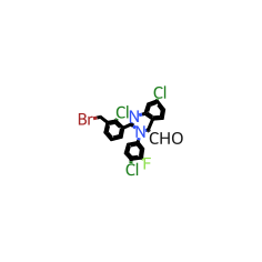 O=CC1c2ccc(Cl)cc2N=C(c2cccc(CBr)c2Cl)N1c1ccc(Cl)c(F)c1